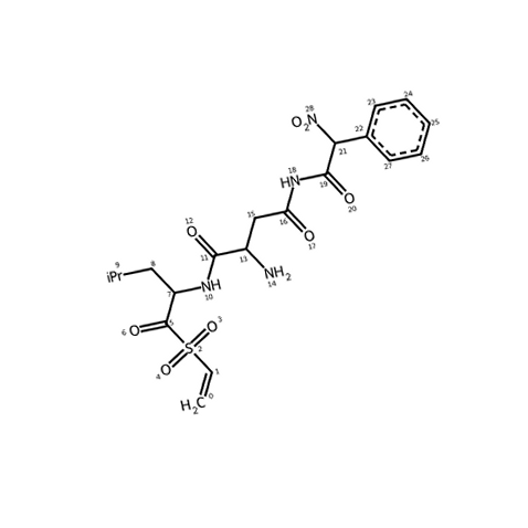 C=CS(=O)(=O)C(=O)C(CC(C)C)NC(=O)C(N)CC(=O)NC(=O)C(c1ccccc1)[N+](=O)[O-]